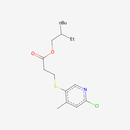 CCCCC(CC)COC(=O)CCSc1cnc(Cl)cc1C